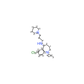 CN1CCCC(NCCCN2CCCCC2)c2cc(Cl)ccc21